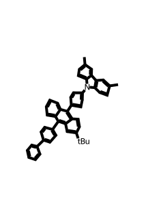 Cc1ccc2c(c1)c1cc(C)ccc1n2-c1ccc(-c2c3ccccc3c(-c3ccc(-c4ccccc4)cc3)c3cc(C(C)(C)C)ccc23)cc1